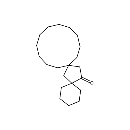 O=C1CC2(CCCCCCCCCCC2)CC12CCCCC2